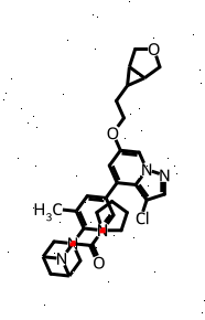 Cc1cc(-c2cc(OCCC3C4COCC34)cn3ncc(Cl)c23)cnc1N1CC2CC(C1)N2CC(=O)N1CCCC1